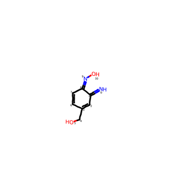 N=C1C=C(CO)C=C/C1=N/O